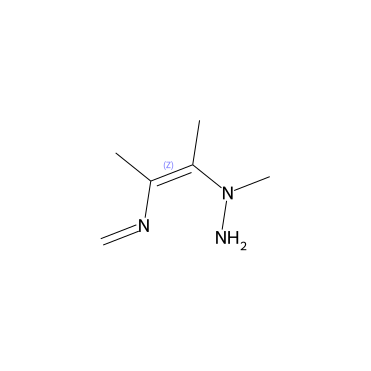 C=N/C(C)=C(/C)N(C)N